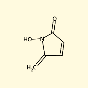 C=C1C=CC(=O)N1O